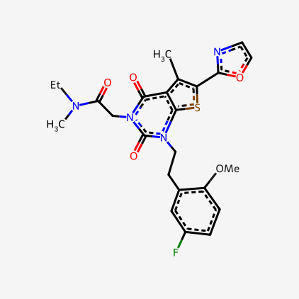 CCN(C)C(=O)Cn1c(=O)c2c(C)c(-c3ncco3)sc2n(CCc2cc(F)ccc2OC)c1=O